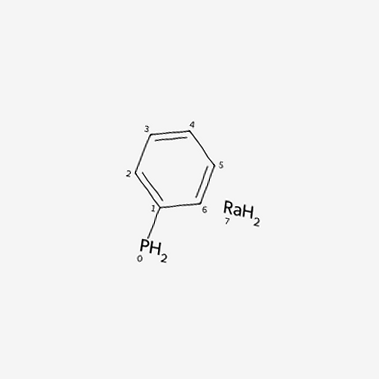 Pc1ccccc1.[RaH2]